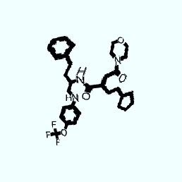 O=C(NC(CCc1ccccc1)CNc1ccc(OC(F)(F)F)cc1)C(CCC1CCCC1)CC(=O)N1CCOCC1